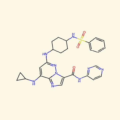 O=C(Nc1ccncn1)c1cnc2c(NC3CC3)cc(NC3CCC(NS(=O)(=O)c4ccccc4)CC3)nn12